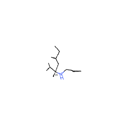 CCCN[C@@](C)(CC(C)CC)C(C)C